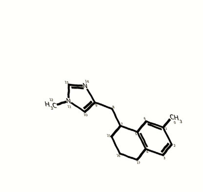 Cc1ccc2c(c1)C(Cc1cn(C)cn1)CCC2